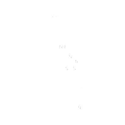 FC(F)(F)c1ccc(Nc2ccccc2-c2nnn(CCOc3cccnc3)n2)cc1